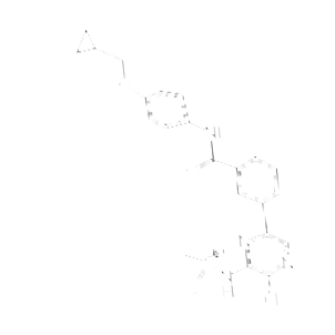 CS(=O)(=O)Nc1nc(-c2cccc(C(=O)Nc3ccc(OCC4CC4)cc3)c2)cnc1Cl